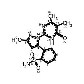 Cc1cc(-c2ccccc2S(N)(=O)=O)n(-c2nc(C)c(C)c(=O)[nH]2)n1